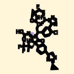 CC(C)(C[C@]1(c2ccc(-c3cnn(C4CC4)n3)cc2)N/C(=N\C(=O)O)N(C(COC(=O)NC2(C(F)F)CC2)c2ccc(Cl)c(-c3ncnn3C(F)F)c2)C1=O)C(F)(F)F